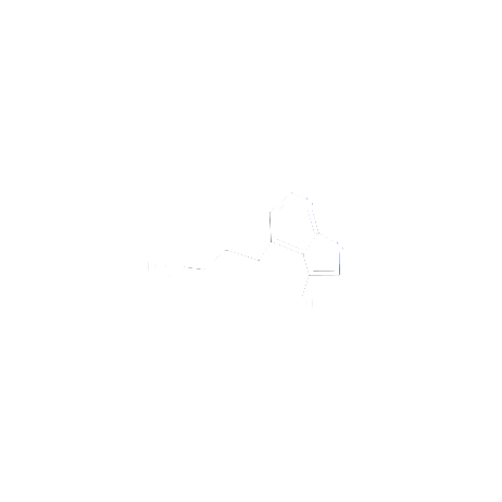 O=Cc1c[nH]c2nccc(CCCC(=O)O)c12